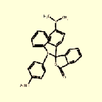 CC(=O)Nc1ccc(N(c2ccccc2)C2(c3ccc(N(C)C)cc3)OC(=O)c3ccccc32)cc1